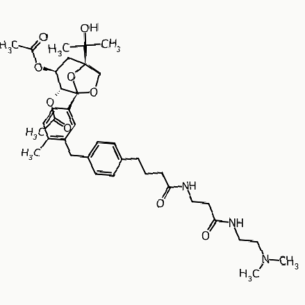 CC(=O)O[C@H]1C[C@]2(C(C)(C)O)CO[C@@](c3ccc(C)c(Cc4ccc(CCCC(=O)NCCC(=O)NCCN(C)C)cc4)c3)(O2)[C@@H]1OC(C)=O